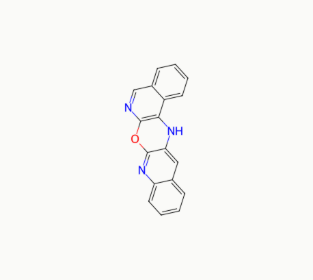 c1ccc2nc3c(cc2c1)Nc1c(ncc2ccccc12)O3